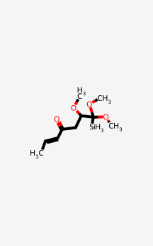 CC=CC(=O)CC(OC)C([SiH3])(OC)OC